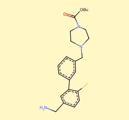 CC(C)COC(=O)N1CCN(Cc2cccc(-c3cc(CN)ccc3F)c2)CC1